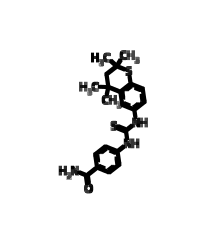 CC1(C)CC(C)(C)c2cc(NC(=S)Nc3ccc(C(N)=O)cc3)ccc2S1